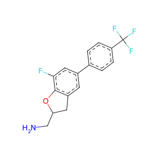 NCC1Cc2cc(-c3ccc(C(F)(F)F)cc3)cc(F)c2O1